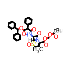 CC1=C(C(=O)OCOC(=O)C(C)(C)C)N2C(=O)C(NC(=O)C(C(=O)OC(c3ccccc3)c3ccccc3)c3ccccc3)[C@H]2[S+]([O-])C1